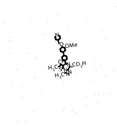 COc1cc(-c2ccc(C3=N[C@@H](CC(=O)O)c4nnc(C)n4-c4sc(C)c(C)c43)cc2)ccc1OCc1ccncc1